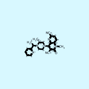 CC(c1ccccn1)N1CCN(c2c(C#N)c(=O)n(C)c3ccc(C#N)nc23)C[C@H]1C